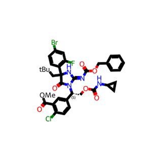 COC(=O)c1cc([C@@H](COC(=O)NC2CC2)N2C(=O)C(CC(C)(C)C)(c3ccc(Br)cc3F)NC2=NC(=O)OCc2ccccc2)ccc1Cl